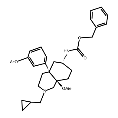 CO[C@]12CC[C@@H](NC(=O)OCc3ccccc3)C[C@]1(c1cccc(OC(C)=O)c1)CCN(CC1CC1)C2